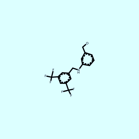 [O]Cc1cccc(NCc2cc(C(F)(F)F)cc(C(F)(F)F)c2)c1